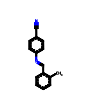 Cc1ccccc1C=Nc1ccc(C#N)cc1